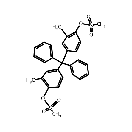 Cc1cc(C(c2ccccc2)(c2ccccc2)c2ccc(OS(C)(=O)=O)c(C)c2)ccc1OS(C)(=O)=O